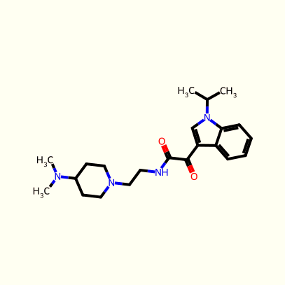 CC(C)n1cc(C(=O)C(=O)NCCN2CCC(N(C)C)CC2)c2ccccc21